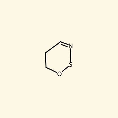 C1=NSOCC1